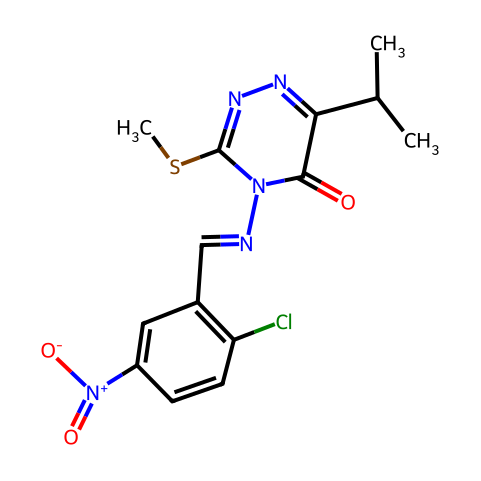 CSc1nnc(C(C)C)c(=O)n1N=Cc1cc([N+](=O)[O-])ccc1Cl